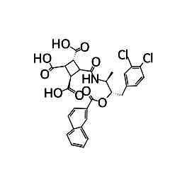 C[C@H](NC(=O)C1[C@@H](C(=O)O)C(C(=O)O)[C@@H]1C(=O)O)[C@H](Cc1ccc(Cl)c(Cl)c1)OC(=O)c1ccc2ccccc2c1